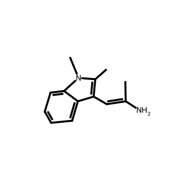 C/C(N)=C\c1c(C)n(C)c2ccccc12